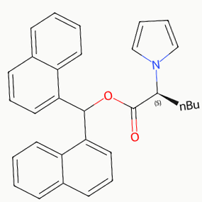 CCCC[C@@H](C(=O)OC(c1cccc2ccccc12)c1cccc2ccccc12)n1cccc1